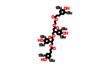 CC(C)(C)c1cc(CCC(=O)OCCOC(=O)CC(COC(=O)CC(COC(=O)CCc2cc(C(C)(C)C)c(O)c(C(C)(C)C)c2)c2cc(C(C)(C)C)c(O)c(C(C)(C)C)c2)c2cc(C(C)(C)C)c(O)c(C(C)(C)C)c2)cc(C(C)(C)C)c1O